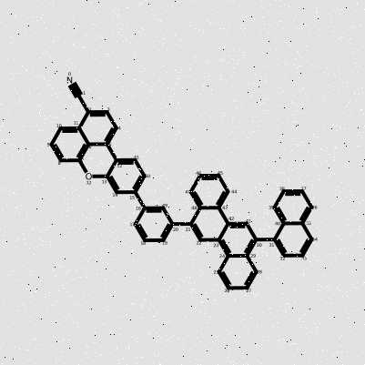 N#Cc1ccc2c3c(cccc13)Oc1cc(-c3cccc(-c4cc5c6ccccc6c(-c6cccc7ccccc67)cc5c5ccccc45)c3)ccc1-2